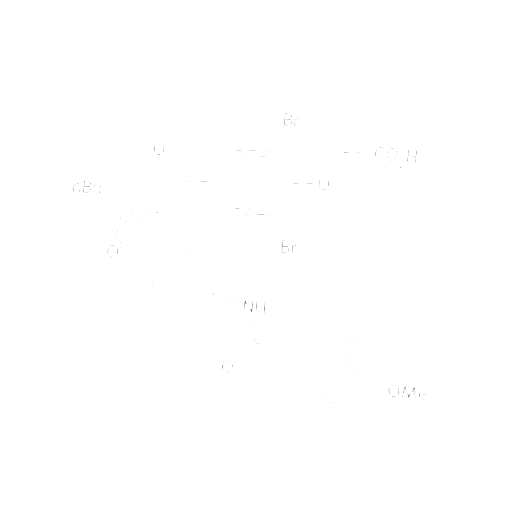 CCCCc1oc2ccc(NC(=O)c3ccc(OC)cc3)cc2c1C(=O)c1cc(Br)c(OCC(=O)O)c(Br)c1